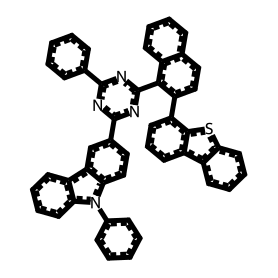 c1ccc(-c2nc(-c3ccc4c(c3)c3ccccc3n4-c3ccccc3)nc(-c3c(-c4cccc5c4sc4ccccc45)ccc4ccccc34)n2)cc1